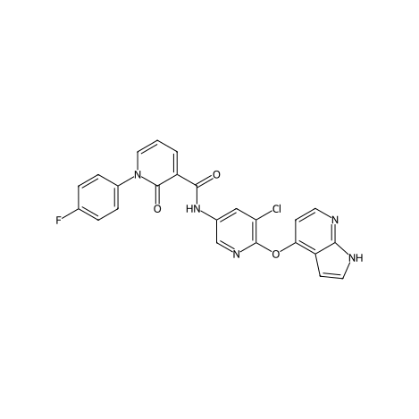 O=C(Nc1cnc(Oc2ccnc3[nH]ccc23)c(Cl)c1)c1cccn(-c2ccc(F)cc2)c1=O